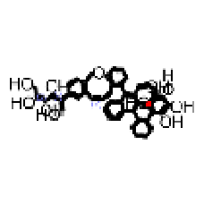 OC/C(O)=C(O)\C(O)=C(/CO)c1ccc2c(c1)/C=C\Cc1c(cccc1-c1c3c(c(-c4ccccc4-c4c(O)c(O)c(O)c(O)c4O)c4ccccc14)CC=CC=C3)OC2